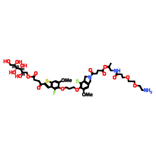 COc1cc2c(c(F)c1OCCCOc1c(OC)cc3sc(C(=O)CCC(=O)OC[C@@H](O)[C@@H](O)[C@H](O)[C@H](O)CO)cc3c1F)CN(C(=O)CCC(=O)O[C@@H](C)CNC(=O)CCOCCOCCN)C2